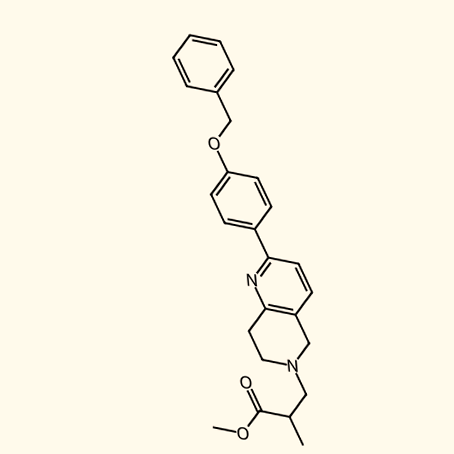 COC(=O)C(C)CN1CCc2nc(-c3ccc(OCc4ccccc4)cc3)ccc2C1